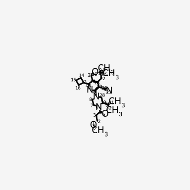 COCCC(=O)N1CCN(c2nc(C3CCC3)c3c(c2C#N)CC(C)(C)OC3)CC1C(C)C